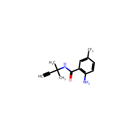 C#CC(C)(C)NC(=O)c1cc(C(F)(F)F)ccc1N